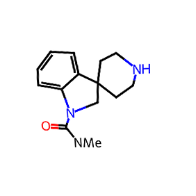 CNC(=O)N1CC2(CCNCC2)c2ccccc21